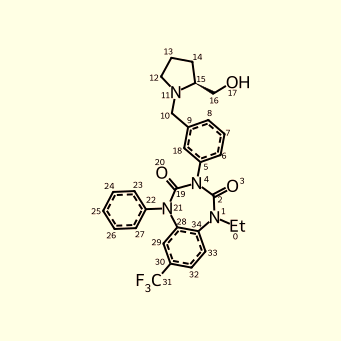 CCN1C(=O)N(c2cccc(CN3CCC[C@H]3CO)c2)C(=O)N(c2ccccc2)c2cc(C(F)(F)F)ccc21